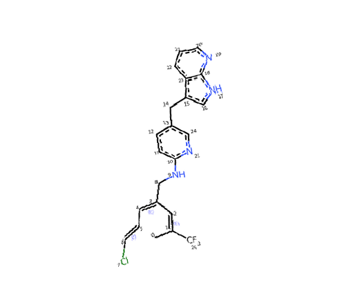 C\C(=C/C(=C\C=C\Cl)CNc1ccc(Cc2c[nH]c3ncccc23)cn1)C(F)(F)F